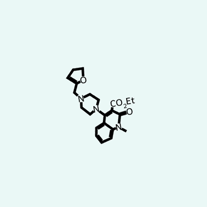 CCOC(=O)c1c(N2CCN(CC3=CCCO3)CC2)c2ccccc2n(C)c1=O